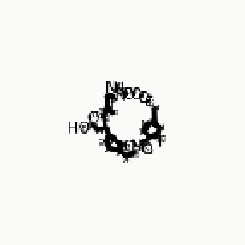 Cc1c2cnc3c1nnn3CCCCCc1ccc(c(F)c1)C(=O)N1CCc3ccc(cc3C1)C2CC(=O)O